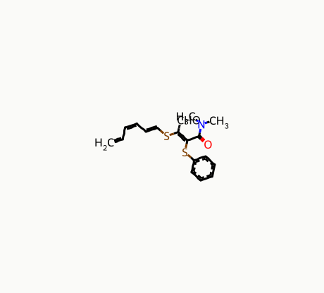 C=C/C=C\C=C\S/C(C=O)=C(\Sc1ccccc1)C(=O)N(C)C